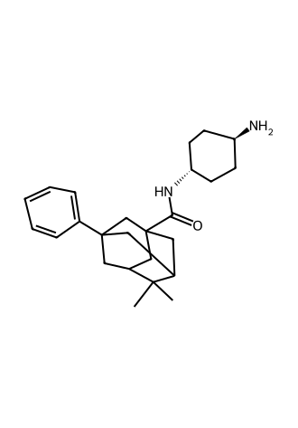 CC1(C)C2CC3(C(=O)N[C@H]4CC[C@H](N)CC4)CC1CC(c1ccccc1)(C2)C3